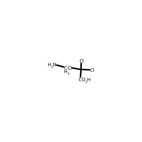 CN.O=C(O)C(Cl)(Cl)Cl